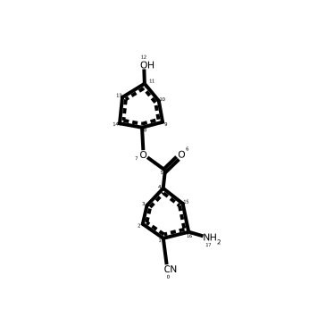 N#Cc1ccc(C(=O)Oc2ccc(O)cc2)cc1N